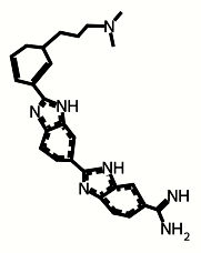 CN(C)CCCC1C=C(c2nc3ccc(-c4nc5ccc(C(=N)N)cc5[nH]4)cc3[nH]2)C=CC1